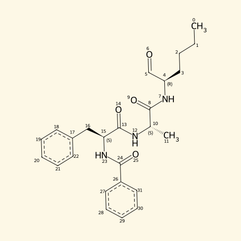 CCCC[C@H](C=O)NC(=O)[C@H](C)NC(=O)[C@H](Cc1ccccc1)NC(=O)c1ccccc1